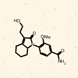 COc1cc(C(N)=O)ccc1N1C(=O)C(CCO)=C2CCCCC21